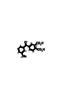 CC(C)(C)c1cccc(C(=O)c2ccc(C(=O)O)c(C(=O)O)c2)c1